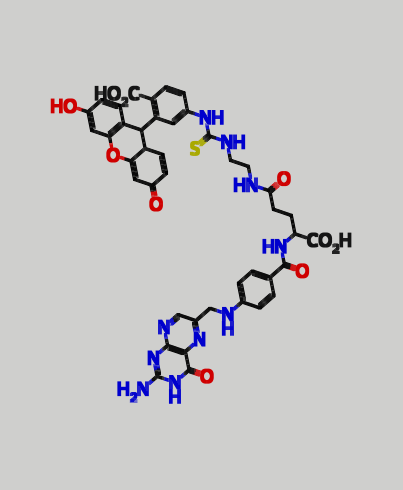 Nc1nc2ncc(CNc3ccc(C(=O)NC(CCC(=O)NCCNC(=S)Nc4ccc(C(=O)O)c(C5c6ccc(O)cc6OC6=CC(=O)C=CC65)c4)C(=O)O)cc3)nc2c(=O)[nH]1